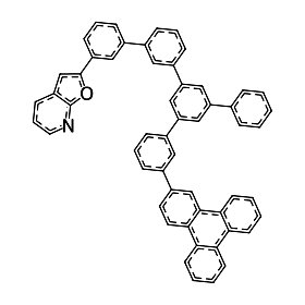 c1ccc(-c2cc(-c3cccc(-c4cccc(-c5cc6cccnc6o5)c4)c3)cc(-c3cccc(-c4ccc5c6ccccc6c6ccccc6c5c4)c3)c2)cc1